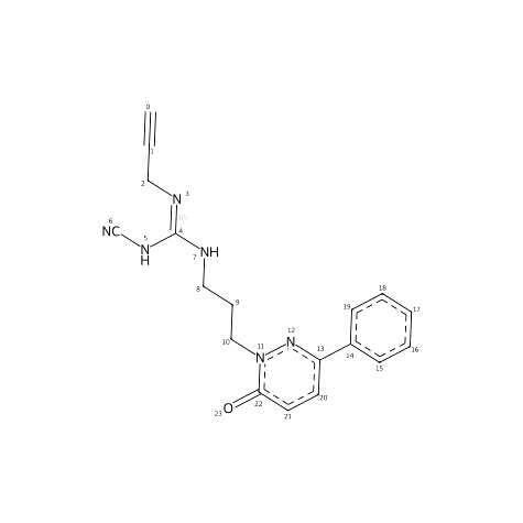 C#CC/N=C(\NC#N)NCCCn1nc(-c2ccccc2)ccc1=O